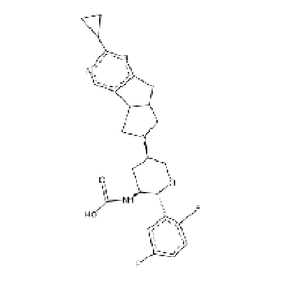 O=C(O)N[C@H]1C[C@@H](N2CC3Cc4nc(C5CC5)ncc4C3C2)CO[C@@H]1c1cc(F)ccc1F